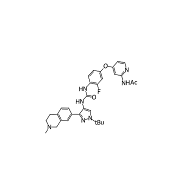 CC(=O)Nc1cc(Oc2ccc(NC(=O)Nc3cn(C(C)(C)C)nc3-c3ccc4c(c3)CN(C)CC4)c(F)c2)ccn1